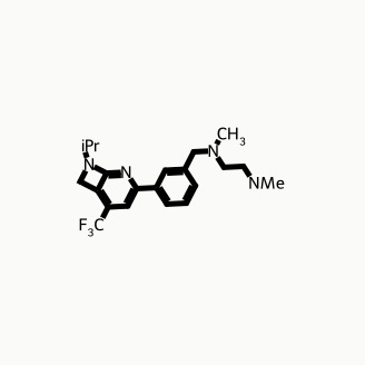 CNCCN(C)Cc1cccc(-c2cc(C(F)(F)F)c3c(n2)N(C(C)C)C3)c1